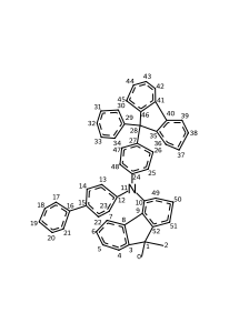 CC1(C)c2ccccc2-c2c(N(c3ccc(-c4ccccc4)cc3)c3ccc(C4(c5ccccc5)c5ccccc5-c5ccccc54)cc3)cccc21